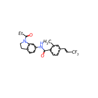 CCC(=O)N1CCc2ccc(NC(=O)c3ccc(C=CC(F)(F)F)cc3C)cc21